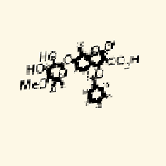 CO[C@@H]1[C@H](O)[C@@H](O)[C@H](Oc2ccc3c(OCc4ccccc4)c(C(=O)O)c(=O)oc3c2C)OC1(C)C